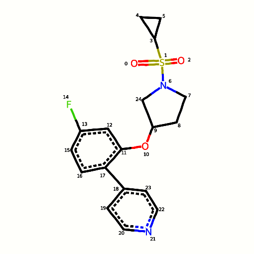 O=S(=O)(C1CC1)N1CCC(Oc2cc(F)ccc2-c2ccncc2)C1